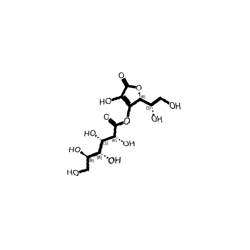 O=C1O[C@H]([C@@H](O)CO)C(OC(=O)[C@H](O)[C@@H](O)[C@H](O)[C@H](O)CO)=C1O